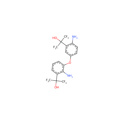 Nc1ccc(Oc2cccc(C(O)(C(F)(F)F)C(F)(F)F)c2N)cc1C(O)(C(F)(F)F)C(F)(F)F